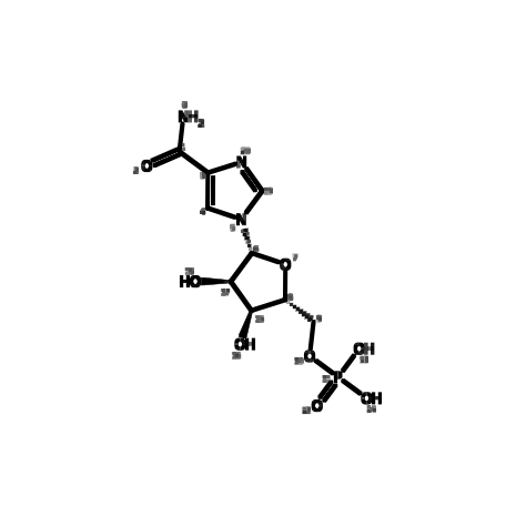 NC(=O)c1cn([C@@H]2O[C@H](COP(=O)(O)O)[C@@H](O)[C@H]2O)cn1